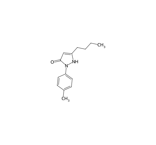 CCCCc1cc(=O)n(-c2ccc(C)cc2)[nH]1